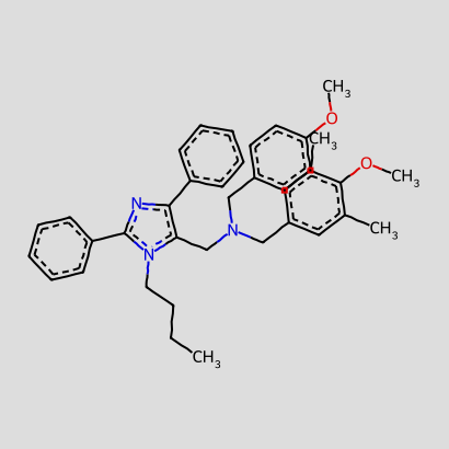 CCCCn1c(-c2ccccc2)nc(-c2ccccc2)c1CN(Cc1ccc(OC)cc1)Cc1cc(C)c(OC)c(C)c1